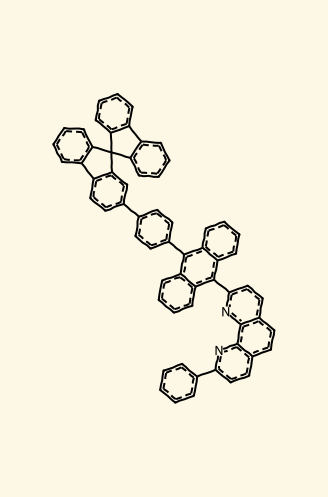 c1ccc(-c2ccc3ccc4ccc(-c5c6ccccc6c(-c6ccc(-c7ccc8c(c7)C7(c9ccccc9-c9ccccc97)c7ccccc7-8)cc6)c6ccccc56)nc4c3n2)cc1